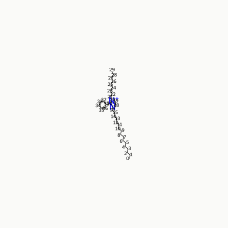 CCCCCCCCCCCCCCCCCn1cc[n+](CCCCCCCCC)c1-c1ccccc1